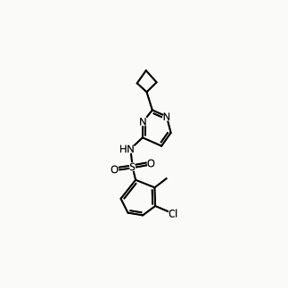 Cc1c(Cl)cccc1S(=O)(=O)Nc1ccnc(C2CCC2)n1